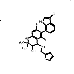 CC1(C)Nc2cc(F)c(-c3cccc4c(Cl)c[nH]c34)c(F)c2C(NCc2cccs2)C1O